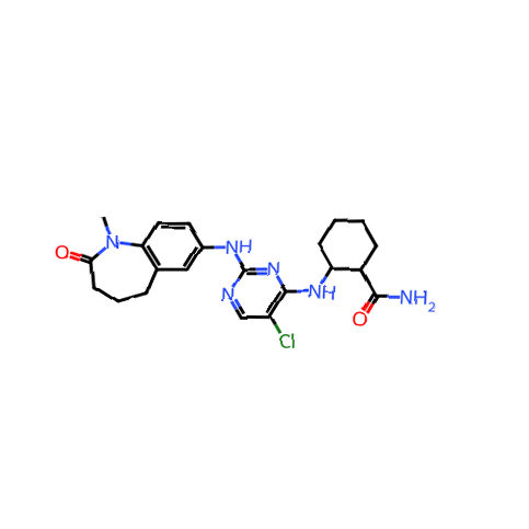 CN1C(=O)CCCc2cc(Nc3ncc(Cl)c(NC4CCCCC4C(N)=O)n3)ccc21